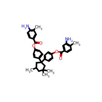 Cc1cc(C(=O)Oc2ccc(C3(c4ccc(OC(=O)c5ccc(C)c(N)c5)cc4)CC(C)CC(C)(C)C3)cc2)ccc1N